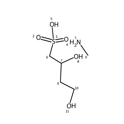 CN.O=S(=O)(O)CC(O)CCO